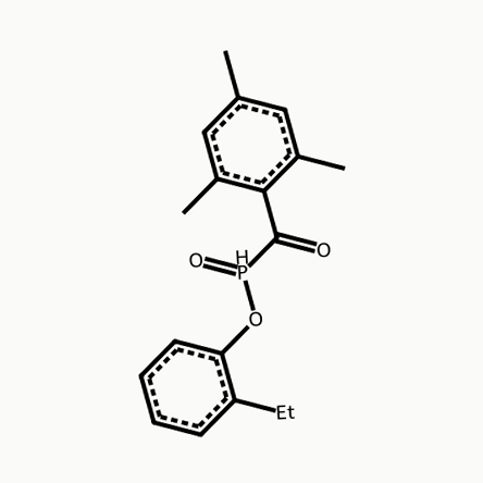 CCc1ccccc1O[PH](=O)C(=O)c1c(C)cc(C)cc1C